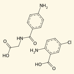 Nc1ccc(C(=O)NCC(=O)O)cc1.Nc1ccc(Cl)cc1C(=O)O